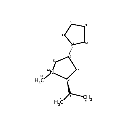 CC(C)[C@@H]1C[C@@H](C2CCCC2)CN1C